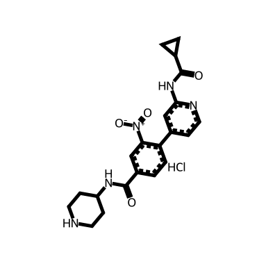 Cl.O=C(NC1CCNCC1)c1ccc(-c2ccnc(NC(=O)C3CC3)c2)c([N+](=O)[O-])c1